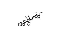 C=C=CC(=O)NCCNC(=O)OC(C)(C)C